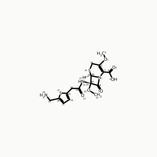 COC1=C(C(=O)O)N2C(=O)[C@](NC(=O)Cc3ccc(CN)s3)(OC)[C@H]2SC1